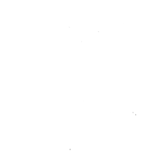 CCC(O)c1cc2nccc(B3OC(C)(C)C(C)(C)O3)c2o1